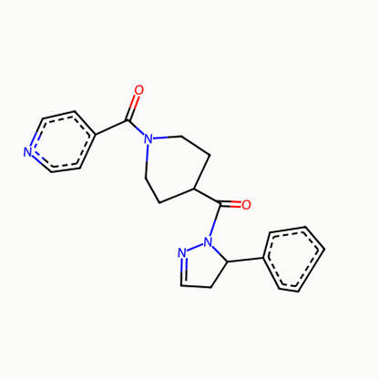 O=C(c1ccncc1)N1CCC(C(=O)N2N=CCC2c2ccccc2)CC1